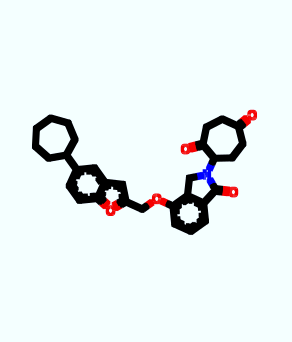 O=C1CCC(=O)C(N2Cc3c(OCc4cc5cc(C6CCCCCC6)ccc5o4)cccc3C2=O)CC1